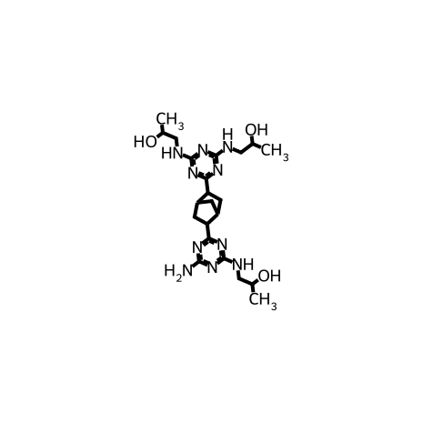 CC(O)CNc1nc(N)nc(C2CC3CC2CC3c2nc(NCC(C)O)nc(NCC(C)O)n2)n1